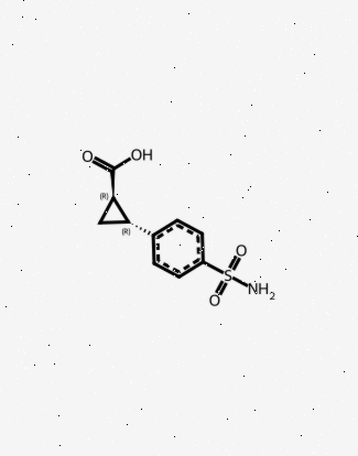 NS(=O)(=O)c1ccc([C@@H]2C[C@H]2C(=O)O)cc1